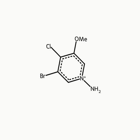 COc1c[n+](N)cc(Br)c1Cl